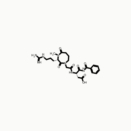 CN1C(=O)CCCN(CC(=O)N[C@@H](CC(=O)O)C(=O)NC(=O)c2ccccc2)C(=O)[C@@H]1CCCNC(=N)N